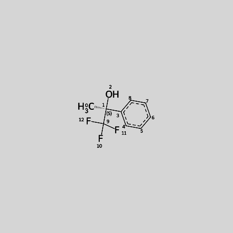 C[C@](O)(c1ccccc1)C(F)(F)F